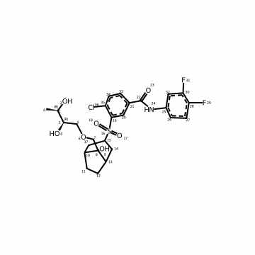 C[C@@H](O)[C@H](O)COCC1(O)C2CCC1CC(S(=O)(=O)c1cc(C(=O)Nc3ccc(F)c(F)c3)ccc1Cl)C2